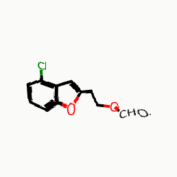 O=[C]OCCc1cc2c(Cl)cccc2o1